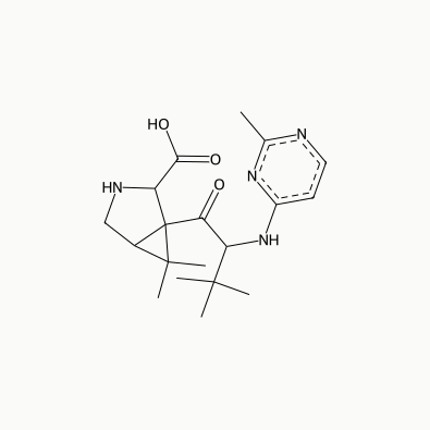 Cc1nccc(NC(C(=O)C23C(C(=O)O)NCC2C3(C)C)C(C)(C)C)n1